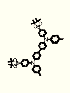 Cc1ccc(N(c2ccc(B3OC(C)(C)C(C)(C)O3)cc2)c2ccc(-c3ccc(N(c4ccc(C)cc4)c4ccc(B5OC(C)(C)C(C)(C)O5)cc4)cc3)cc2)cc1